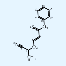 CC(C#N)OC=CC(=S)Oc1ccccc1